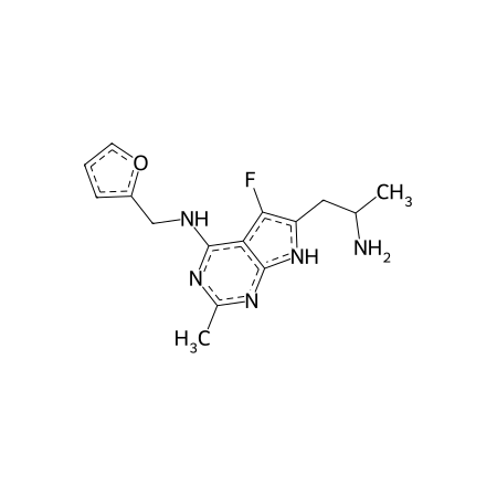 Cc1nc(NCc2ccco2)c2c(F)c(CC(C)N)[nH]c2n1